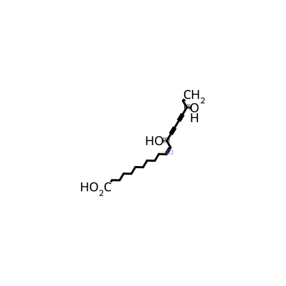 C=C[C@@H](O)C#CC#C[C@@H](O)/C=C\CCCCCCCCCC(=O)O